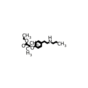 CCCNCCc1ccc(OC(C)(C)C(=O)OCC)cc1